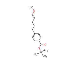 COC=CCCCc1ccc(C(=O)OC(C)(C)C)cc1